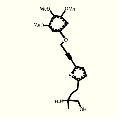 COc1cc(OCC#Cc2ccc(CCC(C)(N)CO)s2)cc(OC)c1OC